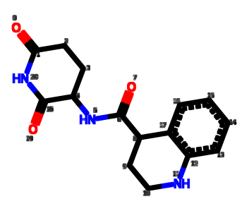 O=C1CCC(NC(=O)C2CCNc3ccccc32)C(=O)N1